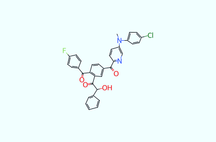 CN(c1ccc(Cl)cc1)c1ccc(C(=O)c2ccc(C(=O)c3ccc(F)cc3)c(C(=O)C(O)c3ccccc3)c2)nc1